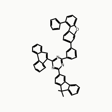 CC1(C)c2ccccc2-c2cc(-c3nc(-c4cccc(-c5ccc6c(c5)oc5cccc(-c7ccccc7)c56)c4)nc(-c4cc5ccccc5c5ccccc45)n3)ccc21